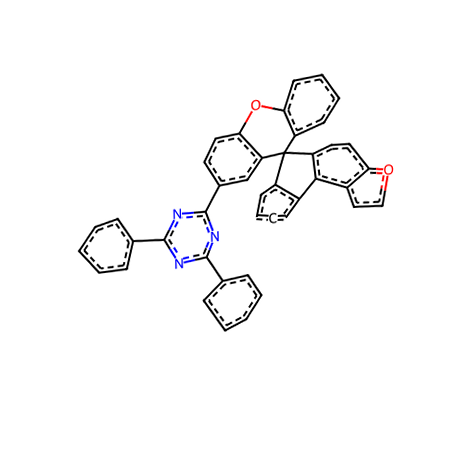 c1ccc(-c2nc(-c3ccccc3)nc(-c3ccc4c(c3)C3(c5ccccc5O4)c4ccccc4-c4c3ccc3occc43)n2)cc1